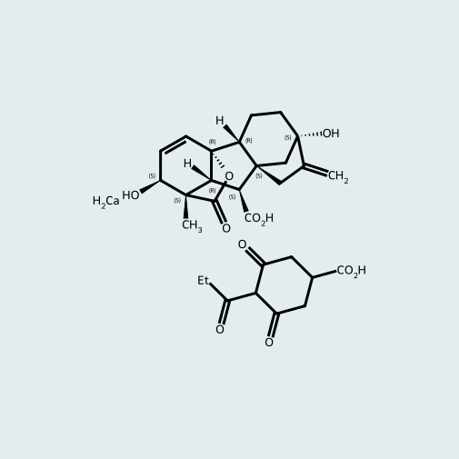 C=C1C[C@]23C[C@@]1(O)CC[C@H]2[C@@]12C=C[C@H](O)[C@@](C)(C(=O)O1)[C@H]2[C@@H]3C(=O)O.CCC(=O)C1C(=O)CC(C(=O)O)CC1=O.[CaH2]